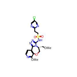 COC[C@@H]1COc2c(ccnc2OC)-c2nnc(NS(=O)(=O)CCc3ncc(Cl)cn3)n21